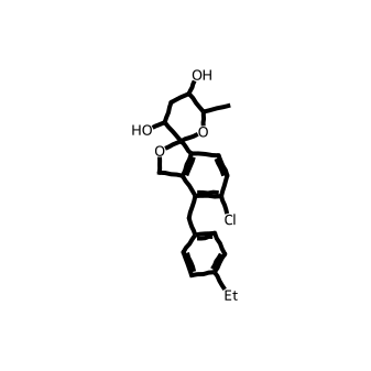 CCc1ccc(Cc2c(Cl)ccc3c2COC32OC(C)C(O)CC2O)cc1